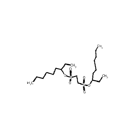 CCCCCCC(CC)OS(=O)(=O)CCS(=O)(=O)OC(CC)CCCCCC